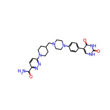 NC(=O)c1ccc(N2CCC(CN3CCN(c4ccc(-c5c[nH]c(=O)[nH]c5=O)cc4)CC3)CC2)nn1